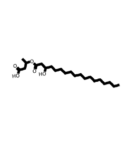 CCCCCCCCCCCCCCCC(O)CC(=O)OC(C)CC(=O)O